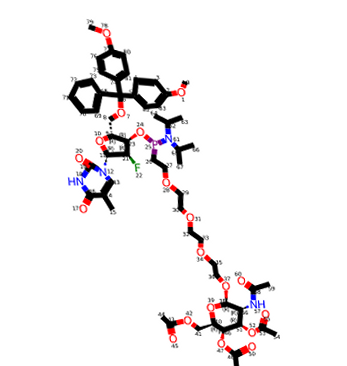 COc1ccc(C(OC[C@H]2O[C@@H](n3cc(C)c(=O)[nH]c3=O)[C@H](F)[C@@H]2OP(CCOCCOCCOCCO[C@@H]2O[C@H](COC(C)=O)[C@H](OC(C)=O)[C@H](OC(C)=O)[C@H]2NC(C)=O)N(C(C)C)C(C)C)(c2ccccc2)c2ccc(OC)cc2)cc1